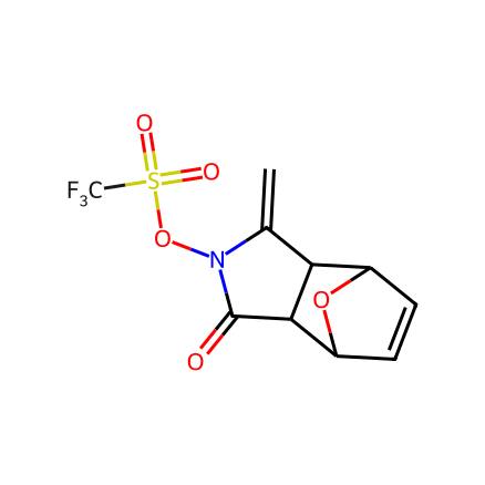 C=C1C2C3C=CC(O3)C2C(=O)N1OS(=O)(=O)C(F)(F)F